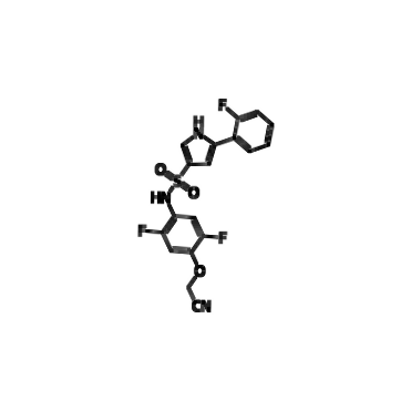 N#CCOc1cc(F)c(NS(=O)(=O)c2c[nH]c(-c3ccccc3F)c2)cc1F